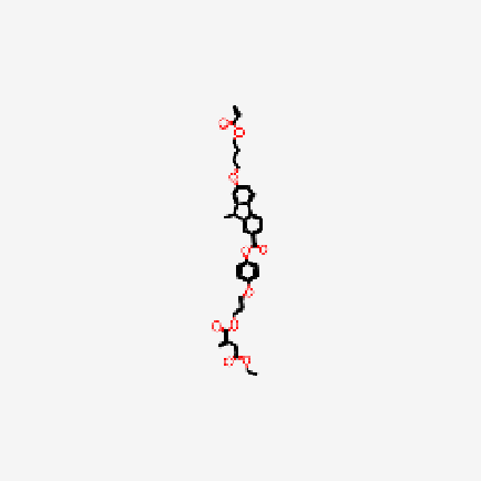 C=CC(=O)OCCCCOc1ccc2c(c1)C(C)c1cc(C(=O)Oc3ccc(OCCCOC(=O)C(=C)CC(=O)OCC)cc3)ccc1-2